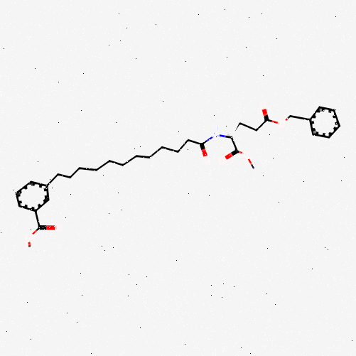 CC(C)(C)OC(=O)c1cccc(CCCCCCCCCCCC(=O)N[C@@H](CCC(=O)OCc2ccccc2)C(=O)OC(C)(C)C)c1